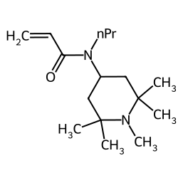 C=CC(=O)N(CCC)C1CC(C)(C)N(C)C(C)(C)C1